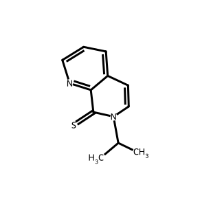 CC(C)n1ccc2cccnc2c1=S